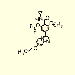 CCCOc1ccn2c(-c3cc(OC)c(C(=O)NC4CC4)c(OC(F)F)c3)cnc2c1